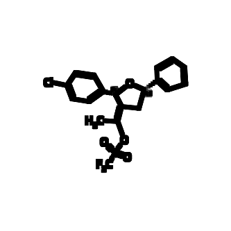 CC(OS(=O)(=O)C(F)(F)F)=C1C[C@@H](c2ccccc2)O[C@H]1c1ccc(Cl)cc1